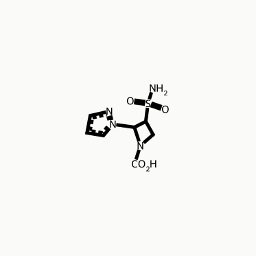 NS(=O)(=O)C1CN(C(=O)O)C1n1cccn1